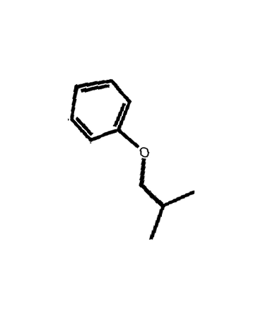 CC(C)COc1[c][c]ccc1